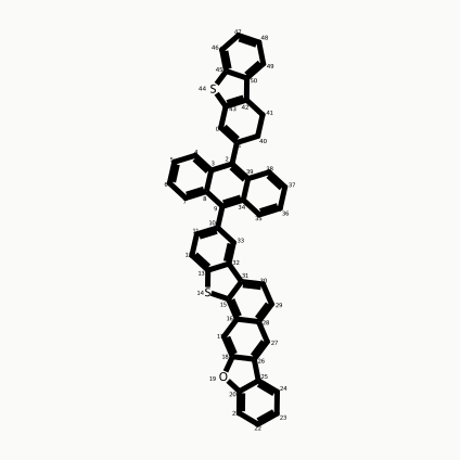 C1=C(c2c3ccccc3c(-c3ccc4sc5c6cc7oc8ccccc8c7cc6ccc5c4c3)c3ccccc23)CCc2c1sc1ccccc21